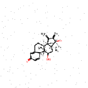 C=C1C(=C)[C@](O)(C(C)=O)[C@@]2(C)CC(O)[C@H]3[C@@H](CCC4=CC(=O)C=C[C@@]43C)[C@H]12